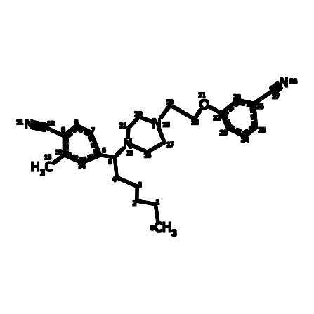 CCCCCC(c1ccc(C#N)c(C)c1)N1CCN(CCOc2cccc(C#N)c2)CC1